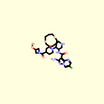 CCOC1CN(C(=O)C2CCN(C3C(NC(=O)c4c(N)nn5cc(F)cnc45)CNCC34CCCCCCCCC4)CC2)C1